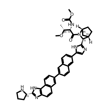 COC(=O)N[C@H](C(=O)N1[C@@H]2CC[C@@H](C2)[C@H]1c1ncc(-c2ccc3cc(-c4ccc5c(ccc6nc([C@@H]7CCCN7)[nH]c65)c4)ccc3c2)[nH]1)[C@@H](C)OC